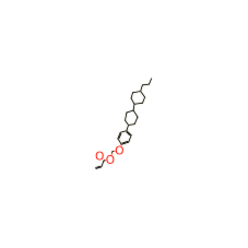 C=CC(=O)OCOc1ccc(C2CCC(C3CCC(CCC)CC3)CC2)cc1